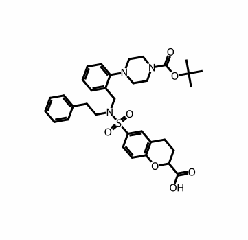 CC(C)(C)OC(=O)N1CCN(c2ccccc2CN(CCc2ccccc2)S(=O)(=O)c2ccc3c(c2)CCC(C(=O)O)O3)CC1